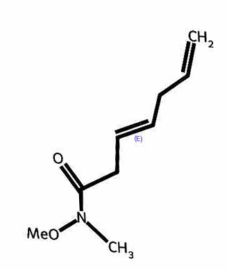 C=CC/C=C/CC(=O)N(C)OC